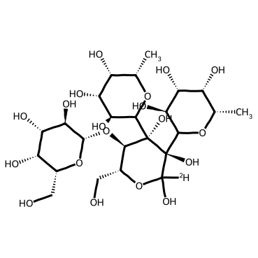 [2H]C1(O)O[C@H](CO)[C@@H](O[C@@H]2O[C@H](CO)[C@H](O)[C@H](O)[C@H]2O)[C@@](O)(C2O[C@@H](C)[C@@H](O)[C@@H](O)[C@@H]2O)[C@]1(O)C1O[C@@H](C)[C@@H](O)[C@@H](O)[C@@H]1O